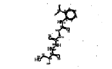 CC(C)c1ccccc1NC(=O)CSC(=O)NNC(=O)[C@H](C)CO